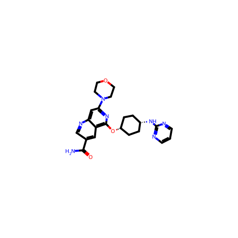 NC(=O)c1cnc2cc(N3CCOCC3)nc(O[C@H]3CC[C@@H](Nc4ncccn4)CC3)c2c1